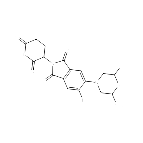 CC1CN(c2cc3c(cc2F)C(=O)N(C2CCC(=O)NC2=O)C3=O)CC(C)N1